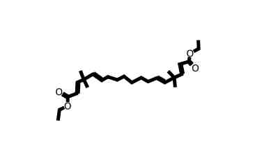 CCOC(=O)C=CC(C)(C)C=CCCCCCCC=CC(C)(C)C=CC(=O)OCC